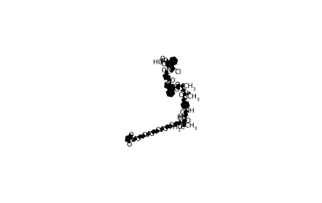 CCN(CCN(CC)C(=O)Oc1cc2c(c3ccccc13)CCN2C(=O)c1ccc(C(=O)N2C[C@@H](CCl)c3c2cc(OP(=O)(O)O)c2ccccc32)s1)C(=O)OCc1ccc(NC(=O)CNC(=O)C(NC(=O)CCOCCOCCOCCOCCOCCOCCN2C(=O)C=CC2=O)C(C)C)cc1